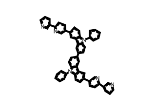 c1ccc(-n2c3ccc(-c4ccc(-c5cccnc5)nc4)cc3c3cc(-c4ccc5c(c4)c4cc(-c6ccc(-c7cccnc7)nc6)ccc4n5-c4ccccc4)ccc32)cc1